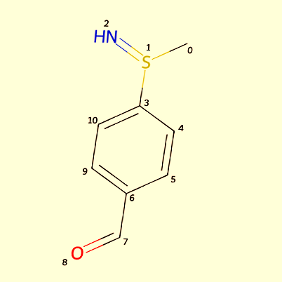 CS(=N)c1ccc(C=O)cc1